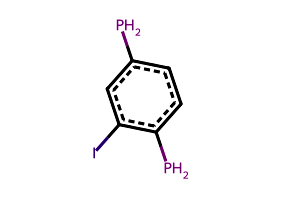 Pc1ccc(P)c(I)c1